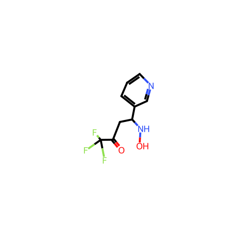 O=C(CC(NO)c1cccnc1)C(F)(F)F